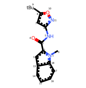 Cn1c(C(=O)Nc2cc(C(C)(C)C)on2)cc2ccccc21